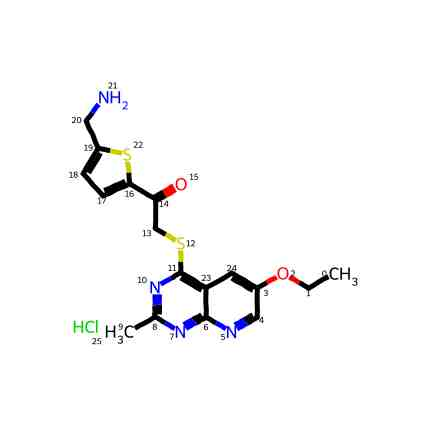 CCOc1cnc2nc(C)nc(SCC(=O)c3ccc(CN)s3)c2c1.Cl